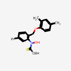 COC(=S)N(O)c1cc(C(C)C)ccc1COc1ccc(C)cc1C